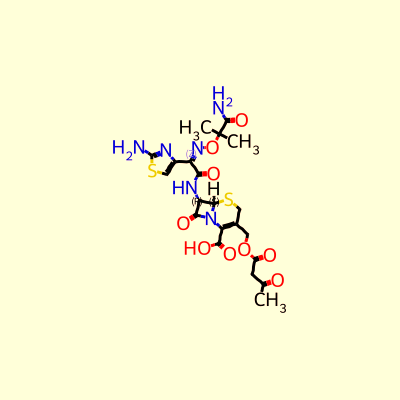 CC(=O)CC(=O)OCC1=C(C(=O)O)N2C(=O)[C@@H](NC(=O)/C(=N\OC(C)(C)C(N)=O)c3csc(N)n3)[C@@H]2SC1